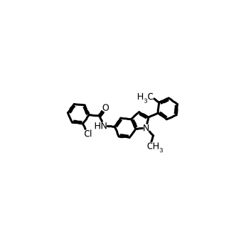 CCn1c(-c2ccccc2C)cc2cc(NC(=O)c3ccccc3Cl)ccc21